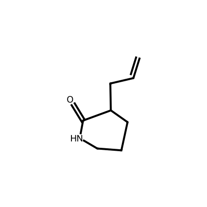 C=CCC1CCCNC1=O